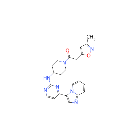 Cc1cc(CC(=O)N2CCC(Nc3nccc(-c4cnc5ccccn45)n3)CC2)on1